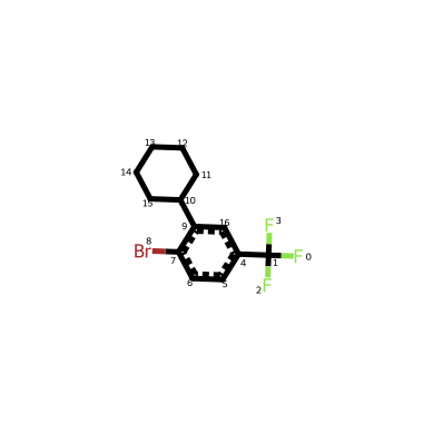 FC(F)(F)c1ccc(Br)c([C]2CCCCC2)c1